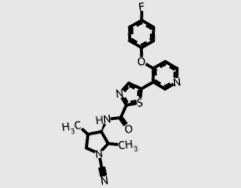 CC1CN(C#N)C(C)[C@@H]1NC(=O)c1ncc(-c2cnccc2Oc2ccc(F)cc2)s1